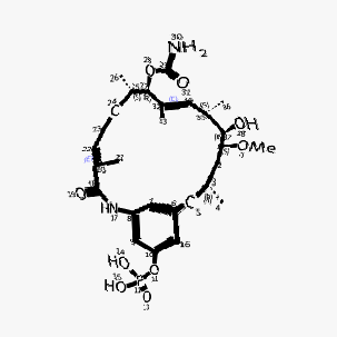 CO[C@H]1C[C@H](C)Cc2cc(cc(OP(=O)(O)O)c2)NC(=O)/C(C)=C/CC[C@H](C)[C@@H](OC(N)=O)/C(C)=C/[C@H](C)[C@H]1O